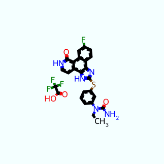 CCN(C(N)=O)c1cccc(Sc2nc3c4ccc(F)cc4c4c(=O)[nH]ccc4c3[nH]2)c1.O=C(O)C(F)(F)F